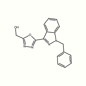 OCc1nnc(-c2nn(Cc3ccccc3)c3ccccc23)o1